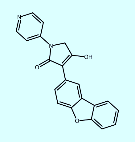 O=C1C(c2ccc3oc4ccccc4c3c2)=C(O)CN1c1ccncc1